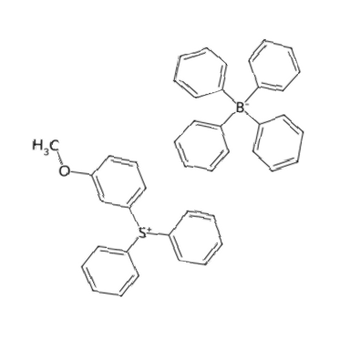 COc1cccc([S+](c2ccccc2)c2ccccc2)c1.c1ccc([B-](c2ccccc2)(c2ccccc2)c2ccccc2)cc1